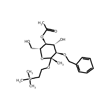 CC(=O)O[C@H]1[C@H](O)[C@@H](OCc2ccccc2)[C@](C)(OCC[Si](C)(C)C)O[C@@H]1CO